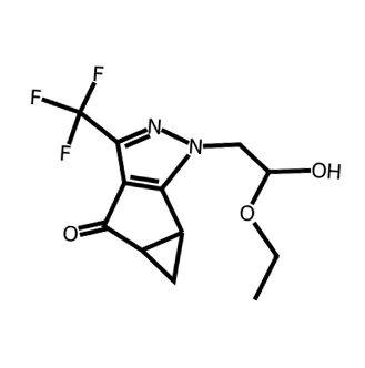 CCOC(O)Cn1nc(C(F)(F)F)c2c1C1CC1C2=O